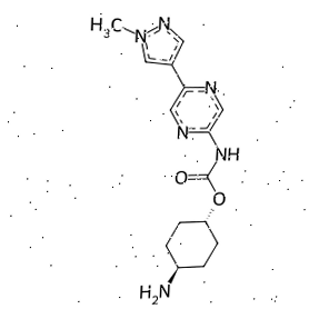 Cn1cc(-c2cnc(NC(=O)O[C@H]3CC[C@H](N)CC3)cn2)cn1